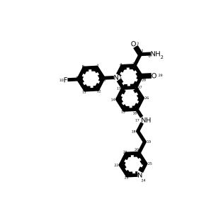 NC(=O)c1cn(-c2ccc(F)cc2)c2ccc(NCCc3cccnc3)cc2c1=O